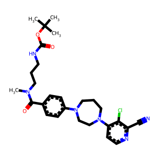 CN(CCCNC(=O)OC(C)(C)C)C(=O)c1ccc(N2CCCN(c3ccnc(C#N)c3Cl)CC2)cc1